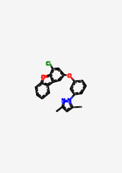 Cc1cc(C)n(-c2cccc(Oc3cc(Cl)c4oc5ccccc5c4c3)c2)n1